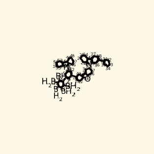 Bc1c(B)c(B)c(-c2cc(-c3ccc4oc5ccc(-n6c7ccccc7c7ccc(-c8ccccc8)cc76)cc5c4c3)cc(-n3c4ccccc4c4ccccc43)c2)c(B)c1B